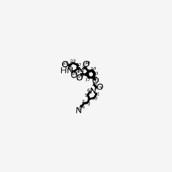 N#CC=CC1CCN(C(=O)COc2ccc3c(c2)C(=O)N(C2CCC(=O)NC2=O)C3=O)CC1